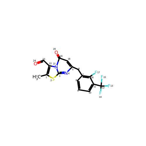 Cc1sc2nc(Cc3cccc(C(F)(F)F)c3F)cc(=O)n2c1C=O